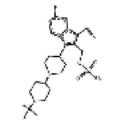 CC(C)(C)[C@H]1CC[C@@H](N2CCC(n3c(COS(N)(=O)=O)c(C=N)c4cc(F)ccc43)CC2)CC1